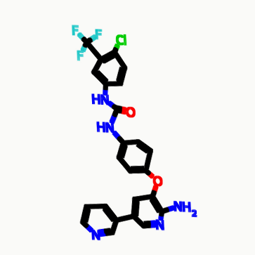 Nc1ncc(-c2cccnc2)cc1Oc1ccc(NC(=O)Nc2ccc(Cl)c(C(F)(F)F)c2)cc1